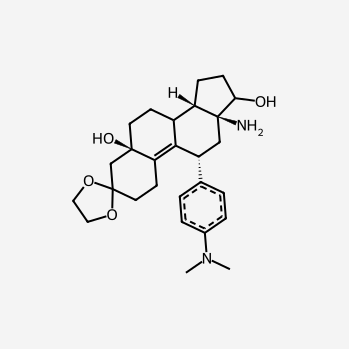 CN(C)c1ccc([C@H]2C[C@@]3(N)C(O)CC[C@H]3C3CC[C@@]4(O)CC5(CCC4=C32)OCCO5)cc1